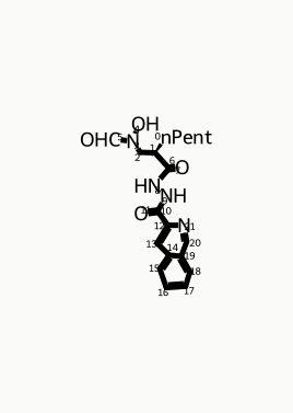 CCCCC[C@H](CN(O)C=O)C(=O)NNC(=O)c1cc2ccccc2cn1